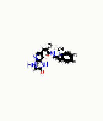 CC(=Cc1cnc2c(c1)NC(=O)CN2)C(=O)NCc1cc2ccccc2n1C